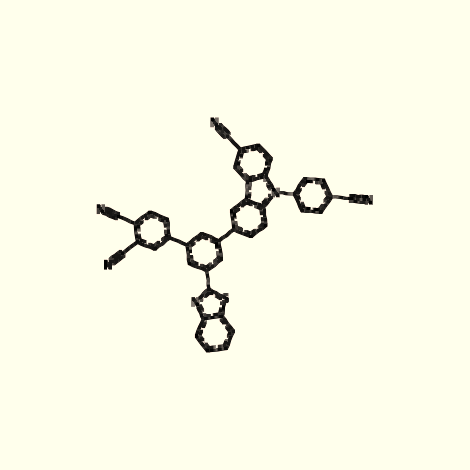 N#Cc1ccc(-n2c3ccc(C#N)cc3c3cc(-c4cc(-c5ccc(C#N)c(C#N)c5)cc(-c5nc6ccccc6s5)c4)ccc32)cc1